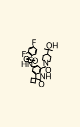 CC(C)(O)C1CCN(C(=O)c2cc(NS(=O)(=O)c3ccc(F)cc3F)cc3c2NC(=O)C32CCC2)CC1